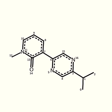 CC(C)c1cnc(-c2cccn(C)c2=O)cn1